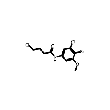 COc1cc(NC(=O)CCCCl)cc(Cl)c1Br